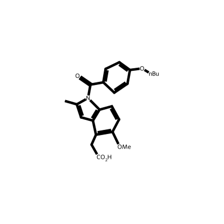 CCCCOc1ccc(C(=O)n2c(C)cc3c(CC(=O)O)c(OC)ccc32)cc1